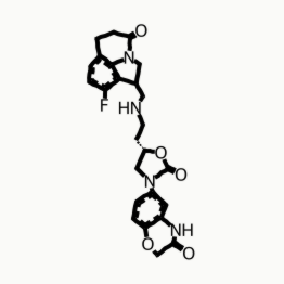 O=C1COc2ccc(N3C[C@H](CCNCC4CN5C(=O)CCc6ccc(F)c4c65)OC3=O)cc2N1